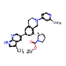 COc1cc(N2CCc3cc(-c4cnc5[nH]cc(C)c5c4)cc([C@@H]4CCCN4C(=O)OC(C)(C)C)c3C2)ccn1